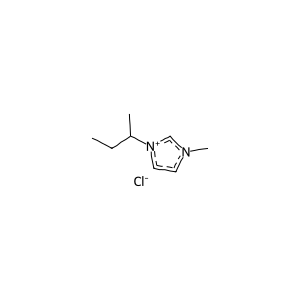 CCC(C)[n+]1ccn(C)c1.[Cl-]